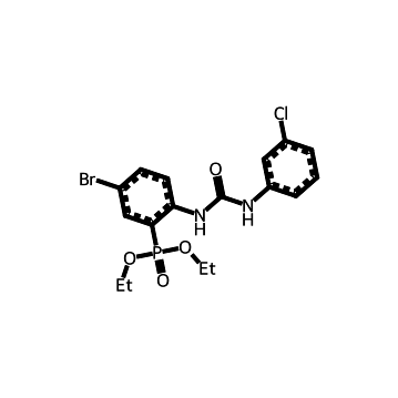 CCOP(=O)(OCC)c1cc(Br)ccc1NC(=O)Nc1cccc(Cl)c1